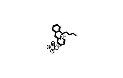 CCCCc1c2ccccc2cc2cccc[n+]12.[O-][Cl+3]([O-])([O-])[O-]